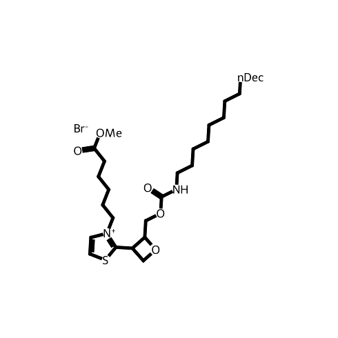 CCCCCCCCCCCCCCCCCCNC(=O)OCC1OCC1c1scc[n+]1CCCCCC(=O)OC.[Br-]